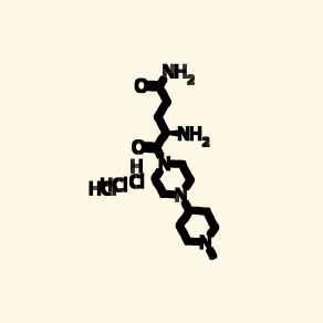 CN1CCC(N2CCN(C(=O)[C@H](N)CCC(N)=O)CC2)CC1.Cl.Cl.Cl